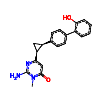 Cn1c(N)nc([C@H]2C[C@H]2c2ccc(-c3ccccc3O)cc2)cc1=O